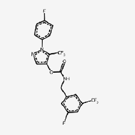 O=C(NCc1cc(F)cc(C(F)(F)F)c1)Oc1cnn(-c2ccc(F)cc2)c1C(F)(F)F